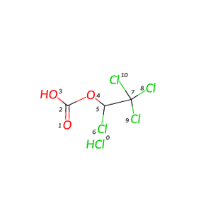 Cl.O=C(O)OC(Cl)C(Cl)(Cl)Cl